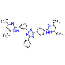 CC1=CC(C)NC(c2ccc(-c3nc(-c4cccc(C5N=C(C)C=C(C)N5)c4)nc(C4C=CC=CC4)n3)cc2)=N1